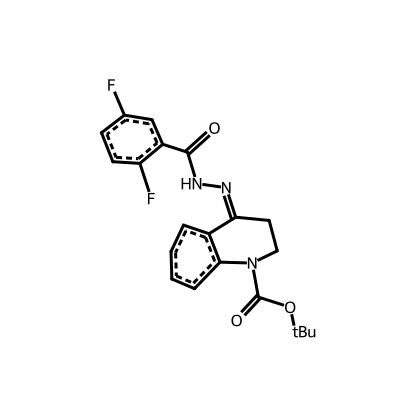 CC(C)(C)OC(=O)N1CC/C(=N/NC(=O)c2cc(F)ccc2F)c2ccccc21